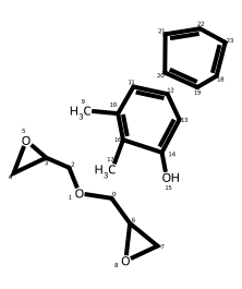 C(OCC1CO1)C1CO1.Cc1cccc(O)c1C.c1ccccc1